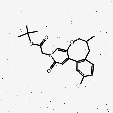 CC1COc2cn(CC(=O)OC(C)(C)C)c(=O)cc2-c2cc(Cl)ccc2C1